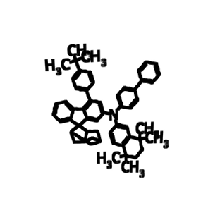 CC(C)(C)c1ccc(-c2cc(N(c3ccc(-c4ccccc4)cc3)c3ccc4c(c3)C(C)(C)CCC4(C)C)cc3c2-c2ccccc2C32C3CC4CC(C3)C2C4)cc1